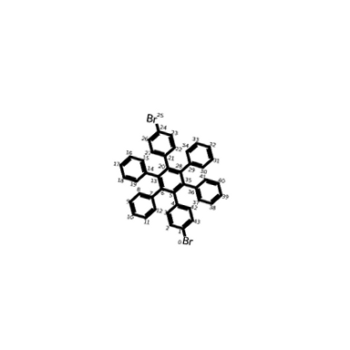 Brc1ccc(-c2c(-c3ccccc3)c(-c3ccccc3)c(-c3ccc(Br)cc3)c(-c3ccccc3)c2-c2ccccc2)cc1